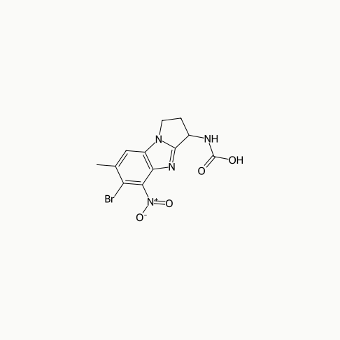 Cc1cc2c(nc3n2CCC3NC(=O)O)c([N+](=O)[O-])c1Br